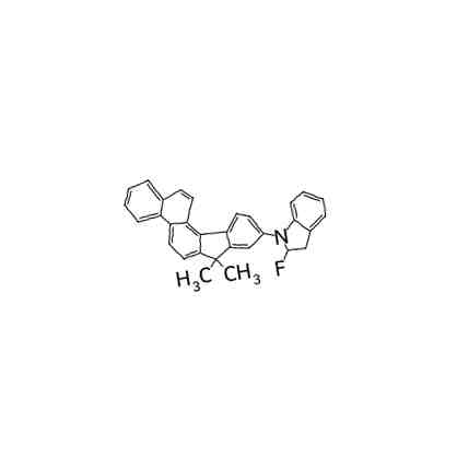 CC1(C)c2cc(N3c4ccccc4CC3F)ccc2-c2c1ccc1c2ccc2ccccc21